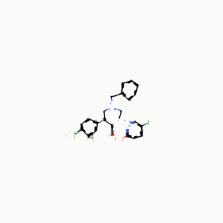 C[C@@H](Oc1ccc(Cl)cn1)[C@H]1CCN(Cc2ccccc2)C[C@@H]1c1ccc(Cl)cc1